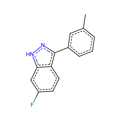 Cc1cccc(-c2n[nH]c3cc(F)ccc23)c1